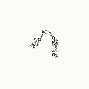 O=C1CC[C@H](N2C(=O)c3ccc(N4CCC(C(=O)N5CCC(CN6CCN(c7ccc(Nc8ncnc9c8ncn9C8CC(NC(=O)c9cccc(C(F)(F)F)n9)C8)cc7)CC6)CC5)CC4)cc3C2=O)C(=O)N1